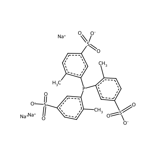 Cc1ccc(S(=O)(=O)[O-])cc1P(c1cc(S(=O)(=O)[O-])ccc1C)c1cc(S(=O)(=O)[O-])ccc1C.[Na+].[Na+].[Na+]